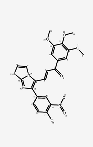 COc1cc(C(=O)C=Cc2c(-c3ccc(Cl)c([N+](=O)[O-])c3)nc3sccn23)cc(OC)c1OC